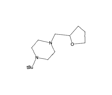 CC(C)(C)N1CCN(CC2CCCO2)CC1